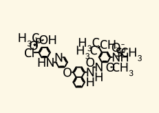 COc1c(NC(=O)Nc2ccc(Oc3ccnc(Nc4ccc(P(C)(=O)O)c(Cl)c4)c3)c3ccccc23)cc(C(C)(C)C)cc1N[S+](C)[O-]